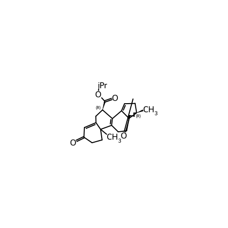 CC(C)OC(=O)[C@@H]1CC2=CC(=O)CCC2(C)C2=C1C1=CC[C@@]3(C)CCC(=O)C13CC2